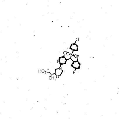 CN(C(=O)O)C1CN(c2cc(C(c3cc(F)ccc3F)S(=O)(=O)c3ccc(Cl)cc3)c(Cl)cn2)CCO1